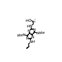 C=CCNc1nc(NC)c2nc(NC[C@@H](C)O)nc(NC)c2n1